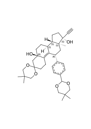 C#C[C@]1(O)CC[C@H]2[C@@H]3CC[C@@]4(O)CC5(CCC4=C3[C@@H](c3ccc(C4OCC(C)(C)CO4)cc3)C[C@@]21C)OCC(C)(C)CO5